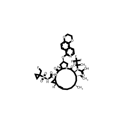 CC[C@@H]1C[C@H](C)CCC=C[C@@H]2C[C@@]2(C(=O)NS(=O)(=O)C2(CF)CC2)NC(=O)[C@@H]2C[C@@H](Oc3nccc4c5c(ccc34)OCCO5)CN2C(=O)[C@H]1N(C(=O)O)C(C)(C)C(F)(F)F